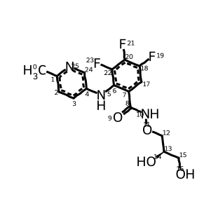 Cc1ccc(Nc2c(C(=O)NOC[C@H](O)CO)cc(F)c(F)c2F)cn1